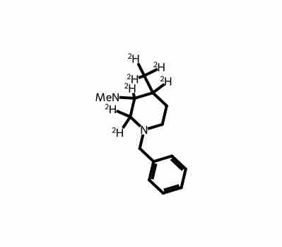 [2H]C([2H])([2H])C1([2H])CCN(Cc2ccccc2)C([2H])([2H])C1([2H])NC